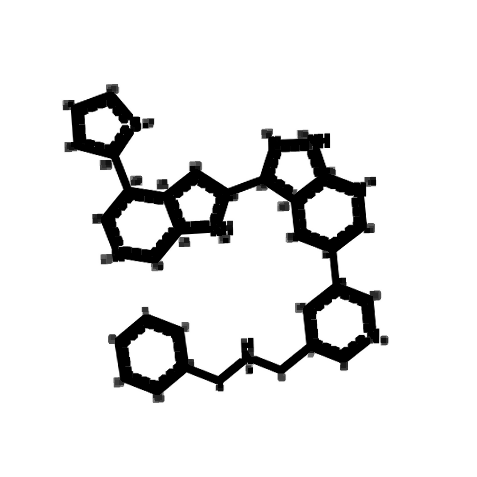 c1ccc(CNCc2cncc(-c3cnc4[nH]nc(-c5cc6c(-c7cccs7)cncc6[nH]5)c4c3)c2)cc1